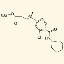 C[C@H](CCC(=O)OC(C)(C)C)c1ccc(C(=O)NC2CCCCC2)c(Cl)c1